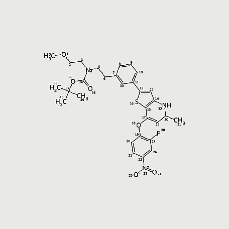 COCCN(CCc1cccc(-c2cc3c(s2)C(Oc2ccc([N+](=O)[O-])cc2F)=CC(C)N3)c1)C(=O)OC(C)(C)C